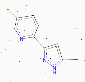 Cc1cc(-c2ccc(F)cn2)n[nH]1